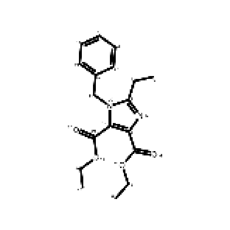 CCOC(=O)c1nc(CC)n(Cc2ccccc2)c1C(=O)OCC